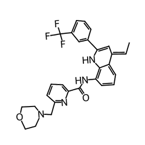 CC=C1C=C(c2cccc(C(F)(F)F)c2)Nc2c(NC(=O)c3cccc(CN4CCOCC4)n3)cccc21